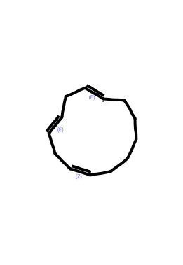 [C]1=C/C/C=C/C/C=C\CCCCC/1